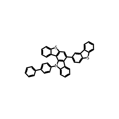 c1ccc(-c2ccc(-n3c4ccccc4c4c(-c5ccc6sc7ccccc7c6c5)cc5sc6ccccc6c5c43)cc2)cc1